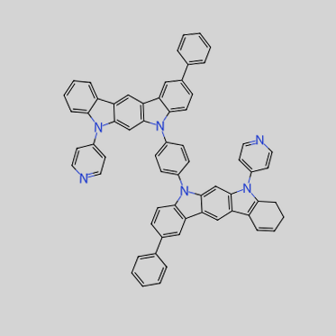 C1=Cc2c(n(-c3ccncc3)c3cc4c(cc23)c2cc(-c3ccccc3)ccc2n4-c2ccc(-n3c4ccc(-c5ccccc5)cc4c4cc5c6ccccc6n(-c6ccncc6)c5cc43)cc2)CC1